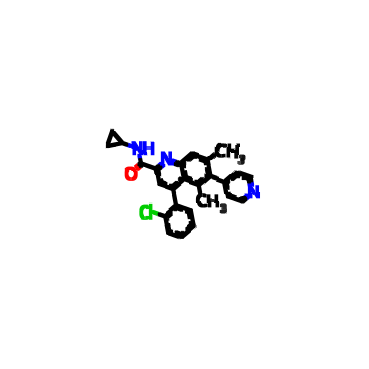 Cc1cc2nc(C(=O)NC3CC3)cc(-c3ccccc3Cl)c2c(C)c1-c1ccncc1